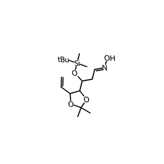 C=CC1OC(C)(C)OC1C(C/C=N/O)O[Si](C)(C)C(C)(C)C